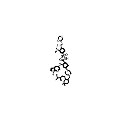 C=C(CCC1=C(CN2CCN(c3ccc(C(=O)NS(=O)(=O)c4ccc(NC[C@H]5COCCO5)c(N(I)I)c4)c(Oc4cnc5[nH]ccc5c4)c3)CC2)CCC(C)(C)C1)C(C)F